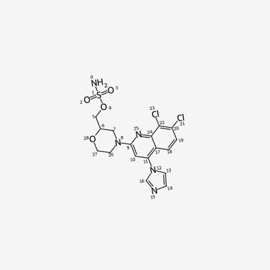 NS(=O)(=O)OCC1CN(c2cc(-n3ccnc3)c3ccc(Cl)c(Cl)c3n2)CCO1